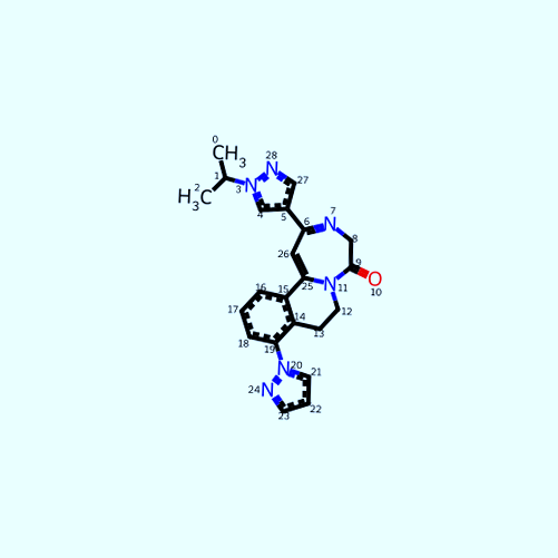 CC(C)n1cc(C2=NCC(=O)N3CCc4c(cccc4-n4cccn4)C3=C2)cn1